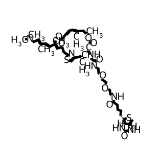 CC(/C=C/C(C)=C/C1Cc2nc(cs2)[C@@H](C)CC(NCC(=O)NCCOCCOCCNC(=O)CCCC[C@@H]2SC[C@@H]3NC(=O)N[C@@H]32)CC(=O)O[C@@H](C)C/C(C)=C/C=C\C(=O)O1)=C\CN(C)C